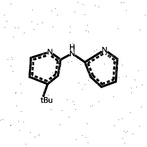 CC(C)(C)c1ccnc(Nc2ccccn2)c1